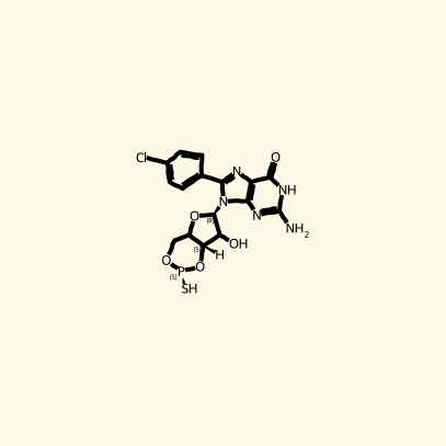 Nc1nc2c(nc(-c3ccc(Cl)cc3)n2[C@@H]2OC3CO[P@@](S)O[C@H]3C2O)c(=O)[nH]1